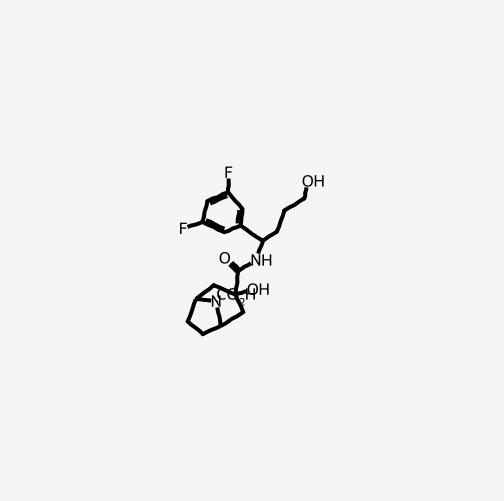 O=C(O)N1C2CCC1CC(O)(C(=O)NC(CCCO)c1cc(F)cc(F)c1)C2